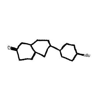 CCCCC1CCC(C2CCC3CC(=O)CCC3C2)CC1